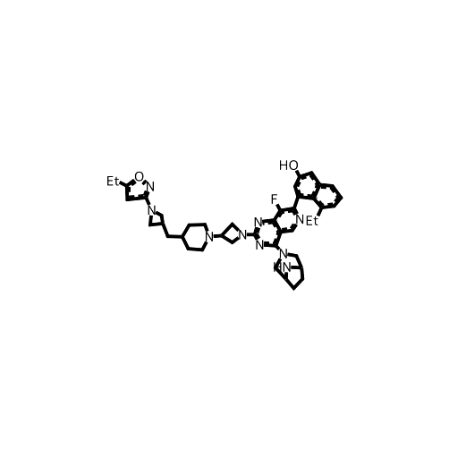 CCc1cc(N2CC(CC3CCN(C4CN(c5nc(N6CC7CCC(C6)N7)c6cnc(-c7cc(O)cc8cccc(CC)c78)c(F)c6n5)C4)CC3)C2)no1